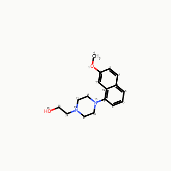 COc1ccc2cccc(N3CCN(CCO)CC3)c2c1